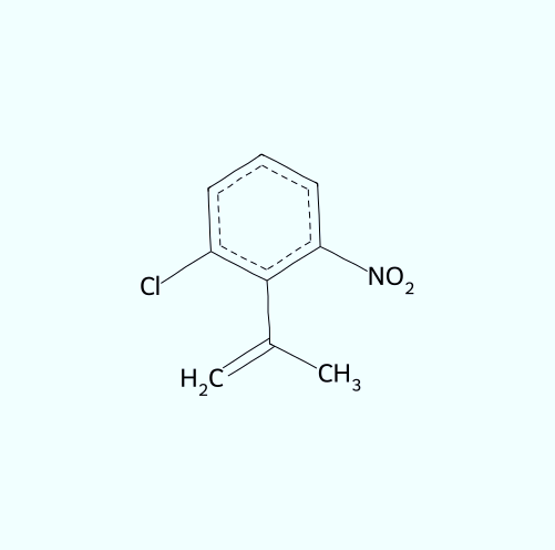 C=C(C)c1c(Cl)cccc1[N+](=O)[O-]